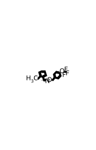 CCc1ccccc1/[C]=N\OCc1ccc(OC(F)(F)F)cc1